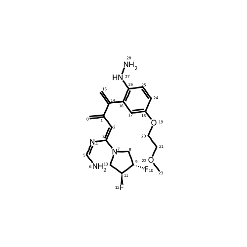 C=C(/C=C(\N=C/N)N1C[C@H](F)[C@@H](F)C1)C(=C)c1cc(OCCOC)ccc1NN